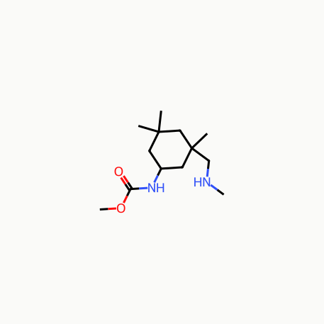 CNCC1(C)CC(NC(=O)OC)CC(C)(C)C1